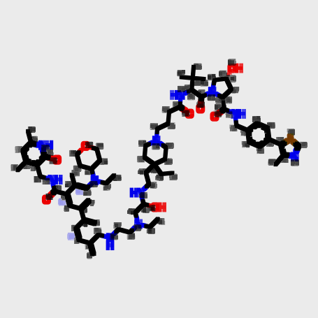 C=C(/C=C\C(=C)C(=C)/C=C(C(=O)NCc1c(C)cc(C)[nH]c1=O)\C(C)=C\N(CC)C1CCOCC1)CNCCN(CC)CC(O)NCCC1(CC)CCN(CCCC(=O)N[C@H](C(=O)N2C[C@H](O)C[C@H]2C(=O)NCc2ccc(-c3scnc3C)cc2)C(C)(C)C)CC1